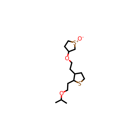 CC(C)OCCC1SCCC1CCOC1CC[S+]([O-])C1